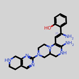 NC1=C(/C=C(\N)c2ccccc2O)N2CCN(c3ncc4c(n3)CNCC4)CC2CN1